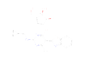 Cc1nc(NCC2CC2)nc(O[C@@H]2C[C@H](CO)[C@@H](O)[C@H]2O)c1-c1nc2ccccc2s1